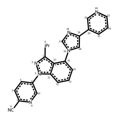 CC(C)c1nn(-c2ccc(C#N)nc2)c2cccc(-n3cnc(-c4cccnc4)c3)c12